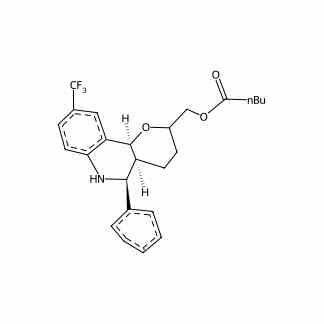 CCCCC(=O)OCC1CC[C@H]2[C@@H](c3ccccc3)Nc3ccc(C(F)(F)F)cc3[C@H]2O1